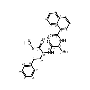 CCC(C)[C@H](NC(=O)c1cccc2ccccc12)C(=O)N[C@@H](CCc1ccccc1)C(=O)CO